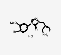 COc1cc(-n2cnn(C/C(=C/F)CN)c2=O)ccc1Br.Cl